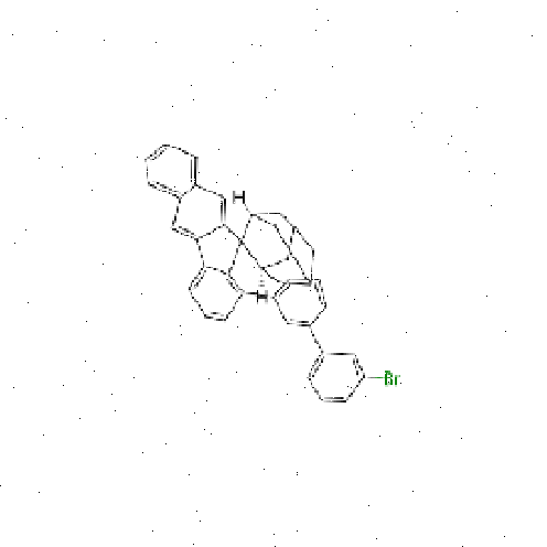 Brc1cccc(-c2cccc(-c3cccc4c3C3(c5cc6ccccc6cc5-4)[C@H]4CC5CC(C4)C[C@@H]3C5)c2)c1